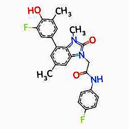 Cc1cc(-c2cc(C)c(O)c(F)c2)c2c(c1)n(CC(=O)Nc1ccc(F)cc1)c(=O)n2C